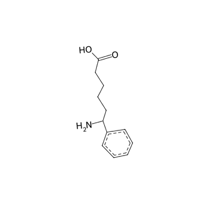 NC(CCCCC(=O)O)c1ccccc1